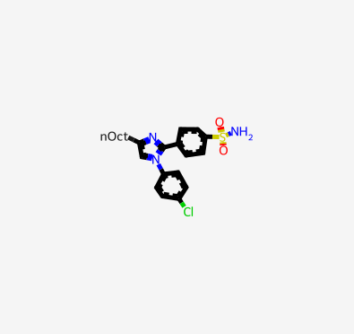 CCCCCCCCc1cn(-c2ccc(Cl)cc2)c(-c2ccc(S(N)(=O)=O)cc2)n1